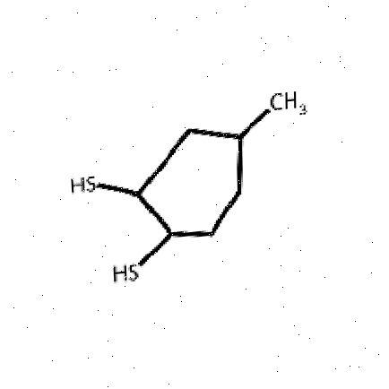 CC1CCC(S)C(S)C1